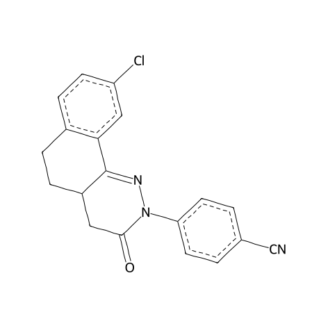 N#Cc1ccc(N2N=C3c4cc(Cl)ccc4CCC3CC2=O)cc1